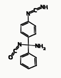 N=C=Nc1ccc(C(N)(N=C=O)c2ccccc2)cc1